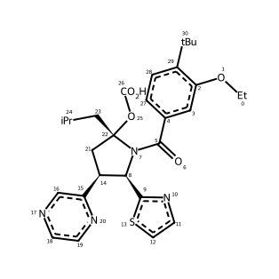 CCOc1cc(C(=O)N2[C@@H](c3nccs3)[C@@H](c3cnccn3)C[C@]2(CC(C)C)OC(=O)O)ccc1C(C)(C)C